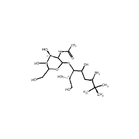 CC(=O)NC1C(OC(C(O)CC(N)C(C)(C)C)[C@@H](O)CO)OC(CO)N(O)[C@H]1O